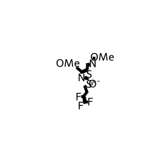 COCc1nc([S+]([O-])CCC(F)=C(F)F)sc1C=NOC